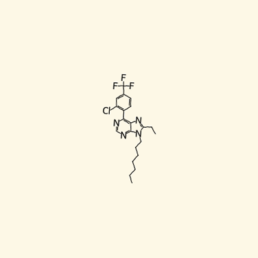 CCCCCCCn1c(CC)nc2c(-c3ccc(C(F)(F)F)cc3Cl)ncnc21